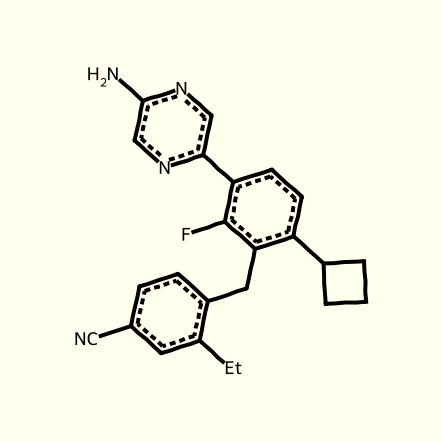 CCc1cc(C#N)ccc1Cc1c(C2CCC2)ccc(-c2cnc(N)cn2)c1F